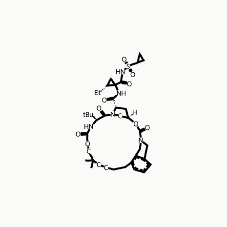 CC[C@@H]1CC1(NC(=O)[C@@H]1C[C@@H]2CN1C(=O)[C@H](C(C)(C)C)NC(=O)OCC(C)(C)CCCCc1cccc3c1CN(C3)C(=O)O2)C(=O)NS(=O)(=O)C1CC1